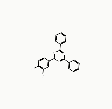 Fc1ccc(C2N=C(c3ccccc3)N=C(c3ccccc3)N2)cc1Br